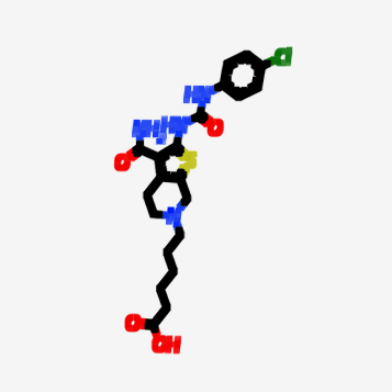 NC(=O)c1c(NC(=O)Nc2ccc(Cl)cc2)sc2c1CCN(CCCCCC(=O)O)C2